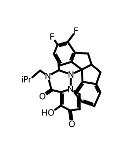 CC(C)CN1C(=O)c2c(O)c(=O)ccn2N(C23c4ccccc4CC2Cc2c3ccc(F)c2F)C1C